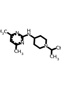 Cc1cc(C)nc(NC2CCN(C(C)C)CC2)n1